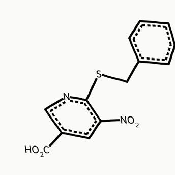 O=C(O)c1cnc(SCc2ccccc2)c([N+](=O)[O-])c1